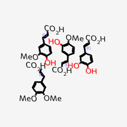 COc1cc(/C=C/C(=O)O)ccc1O.COc1ccc(/C=C/C(=O)O)cc1O.COc1ccc(/C=C/C(=O)O)cc1OC.O=C(O)/C=C/c1ccc(O)c(O)c1